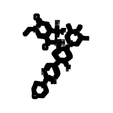 CCn1cc(C(=O)Nc2cc(-c3cnc(N4CCOCC4)nc3)c(F)cc2N2CC(C)N(C)C(C)C2)c(C(F)(F)F)cc1=O